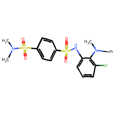 CCCN(C)c1c(Cl)cccc1NS(=O)(=O)c1ccc(S(=O)(=O)N(C)C)cc1